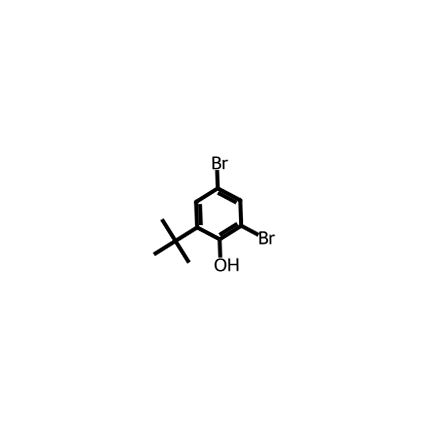 CC(C)(C)c1cc(Br)cc(Br)c1O